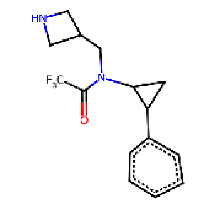 O=C(N(CC1CNC1)C1CC1c1ccccc1)C(F)(F)F